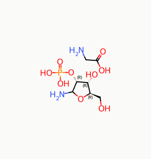 NC1O[C@H](CO)[C@@H](O)[C@H]1OP(=O)(O)O.NCC(=O)O